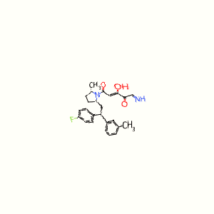 Cc1cccc([C@H](C[C@H]2CC[C@H](C)N2C(=O)/C=C(\O)C(=O)C=N)c2ccc(F)cc2)c1